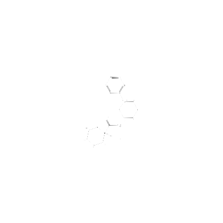 CC1(C(=O)N[C@H]2CCCN(c3ccccc3)C2)CCCCC1